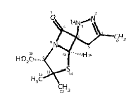 CC1=NNC2(C1)C(=O)N1[C@@H](C(=O)O)C(C)(C)S[C@@H]12